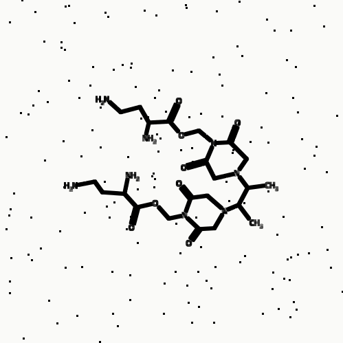 CC(C(C)N1CC(=O)N(COC(=O)C(N)CCN)C(=O)C1)N1CC(=O)N(COC(=O)C(N)CCN)C(=O)C1